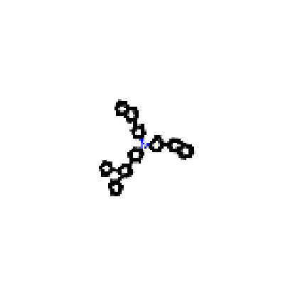 c1ccc(-c2ccc(-c3ccc(N(c4ccc(-c5ccc6ccccc6c5)cc4)c4ccc(-c5ccc6ccccc6c5)cc4)cc3)cc2-c2ccccc2)cc1